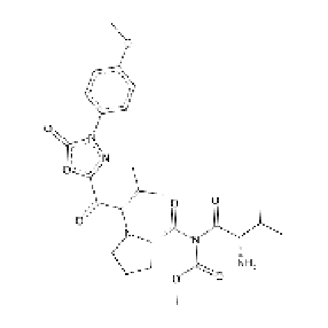 COC(=O)N(C(=O)[C@@H](N)C(C)C)C(=O)[C@@H]1CCCN1[C@H](C(=O)c1nn(-c2ccc(OC)cc2)c(=O)o1)C(C)C